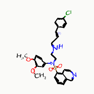 COc1ccc(N(CCNC/C=C/c2ccc(Cl)cc2)S(=O)(=O)c2cccc3cnccc23)cc1OC